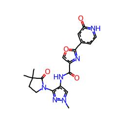 Cn1cc(NC(=O)c2coc(-c3cc[nH]c(=O)c3)n2)c(N2CCC(C)(C)C2=O)n1